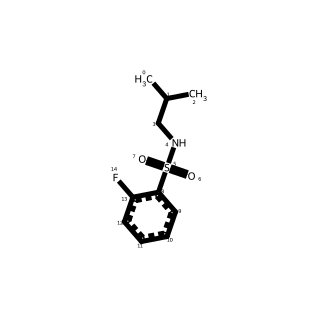 C[C](C)CNS(=O)(=O)c1ccccc1F